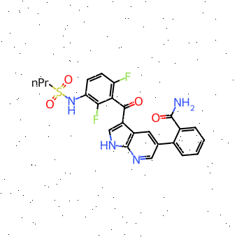 CCCS(=O)(=O)Nc1ccc(F)c(C(=O)c2c[nH]c3ncc(-c4ccccc4C(N)=O)cc23)c1F